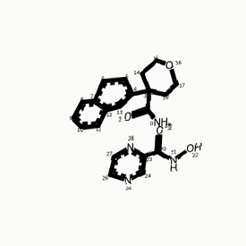 NC(=O)C1(c2ccc3ccccc3c2)CCOCC1.O=C(NO)c1cnccn1